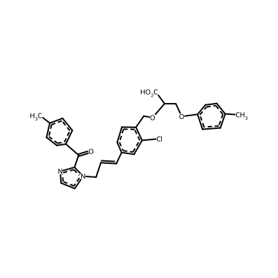 Cc1ccc(OCC(OCc2ccc(/C=C/Cn3ccnc3C(=O)c3ccc(C)cc3)cc2Cl)C(=O)O)cc1